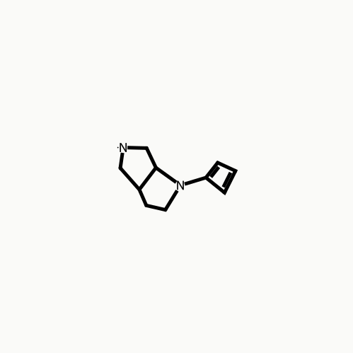 C1=CC(N2CCC3C[N]CC32)=C1